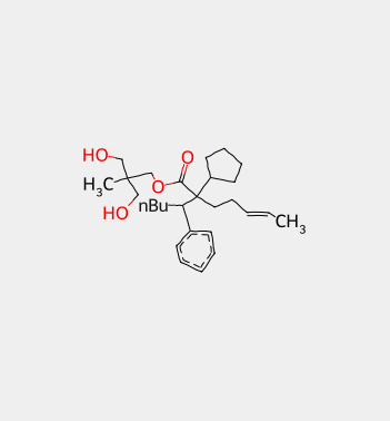 CC=CCCC(C(=O)OCC(C)(CO)CO)(C1CCCC1)C(CCCC)c1ccccc1